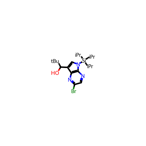 CC(C)[Si](C(C)C)(C(C)C)n1cc(C(O)C(C)(C)C)c2nc(Br)cnc21